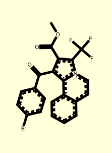 COC(=O)c1c(C(=O)c2ccc(Br)cc2)c2c3ccccc3ccn2c1C(F)(F)F